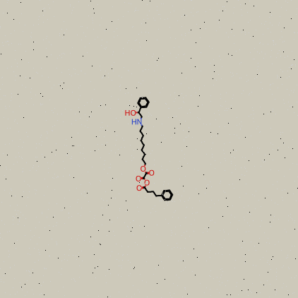 O=C(CCCc1ccccc1)OC(=O)C(=O)OCCCCCCCCCNCC(O)c1ccccc1